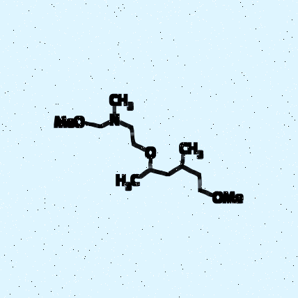 COCCC(C)CC(C)OCCN(C)COC